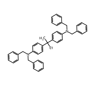 CCC(C)(c1ccc(N(Cc2ccccc2)Cc2ccccc2)cc1)c1ccc(N(Cc2ccccc2)Cc2ccccc2)cc1